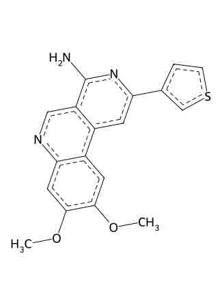 COc1cc2ncc3c(N)nc(-c4ccsc4)cc3c2cc1OC